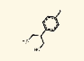 NC[C@H](CO)c1ccc(F)cc1